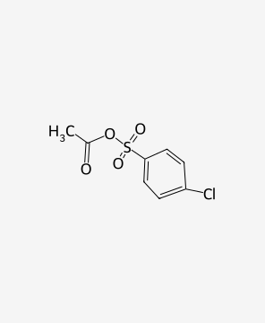 CC(=O)OS(=O)(=O)c1ccc(Cl)cc1